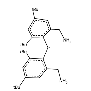 CC(C)(C)c1cc(CN)c([CH]c2c(CN)cc(C(C)(C)C)cc2C(C)(C)C)c(C(C)(C)C)c1